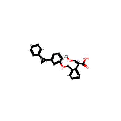 CO/C=C(/C(=O)O)c1ccccc1COc1cccc(C2CC2c2ccccc2)c1